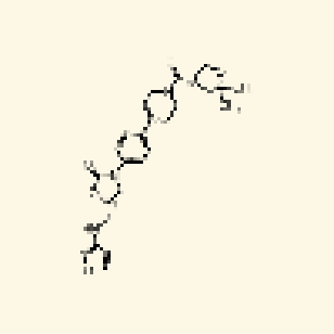 CC1(C)OC[C@@H](C(=O)N2CC=C(c3ccc(N4C[C@H](CNc5ccon5)OC4=O)cc3)CC2)O1